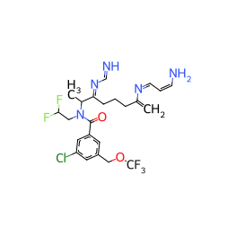 C=C(CCC/C(=N\C=N)C(C)N(CC(F)F)C(=O)c1cc(Cl)cc(COC(F)(F)F)c1)/N=C\C=C/N